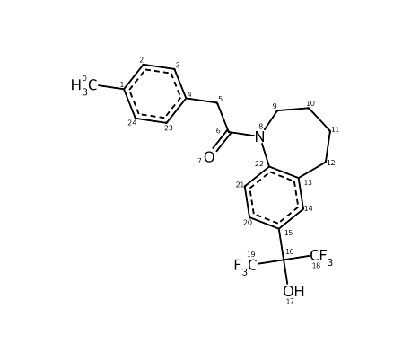 Cc1ccc(CC(=O)N2CCCCc3cc(C(O)(C(F)(F)F)C(F)(F)F)ccc32)cc1